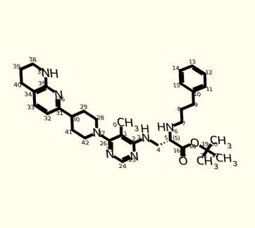 Cc1c(NC[C@H](NCCCc2ccccc2)C(=O)OC(C)(C)C)ncnc1N1CCC(c2ccc3c(n2)NCCC3)CC1